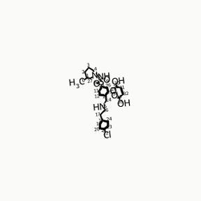 CC1CCCN(NS(=O)(=O)c2ccc(CNCCc3ccc(Cl)cc3)cc2)C1.O=C(O)/C=C\C(=O)O